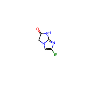 O=C1Cn2cc(Br)nc2N1